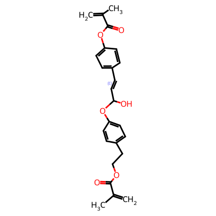 C=C(C)C(=O)OCCc1ccc(OC(O)/C=C/c2ccc(OC(=O)C(=C)C)cc2)cc1